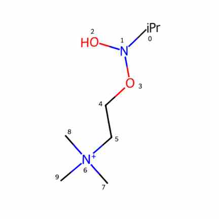 CC(C)N(O)OCC[N+](C)(C)C